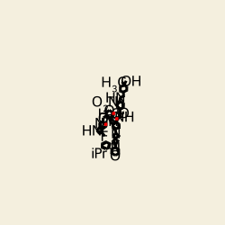 CC(C)c1ccccc1[C@@H]1COCCN1C1CC2(C1)CN(c1ccc(C(=O)NS(=O)(=O)c3ccc(NCC4CCC(C)(O)CC4)c([N+](=O)[O-])c3)c(N3c4cc5c(F)c[nH]c5nc4O[C@H]4COCC[C@@H]43)c1)C2